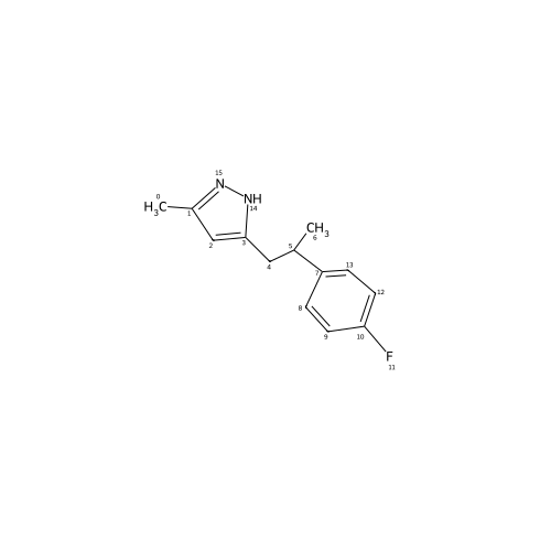 Cc1cc(CC(C)c2ccc(F)cc2)[nH]n1